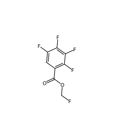 O=C(OCF)c1[c]c(F)c(F)c(F)c1F